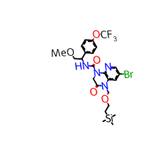 COCC(NC(=O)N1CC(=O)N(COCC[Si](C)(C)C)c2cc(Br)cnc21)c1ccc(OC(F)(F)F)cc1